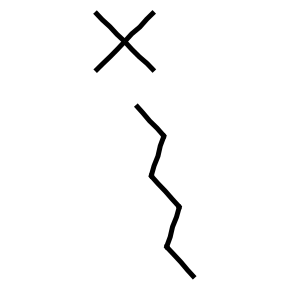 CC(C)(C)C.CCCCCC